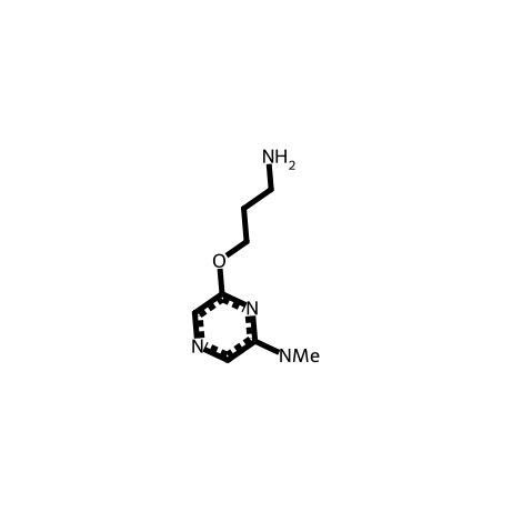 CNc1cncc(OCCCN)n1